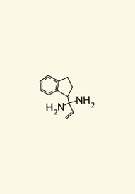 C=CC(N)(N)C1CCc2ccccc21